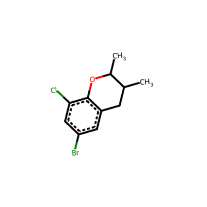 CC1Cc2cc(Br)cc(Cl)c2OC1C